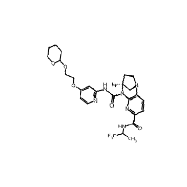 CC(NC(=O)c1ccc2c(n1)N(C(=O)Nc1cc(OCCOC3CCCCO3)ccn1)[C@H]1CCN2C1)C(F)(F)F